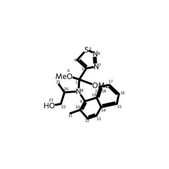 COC(OC)(c1csnn1)N(c1c(C)ccc2ccccc12)C(C)CO